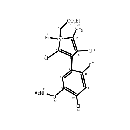 CCOC(=O)C[N+]1(CC)C(Cl)=C(c2cc(ONC(C)=O)c(Cl)cc2F)C(Cl)=C1C(F)(F)F